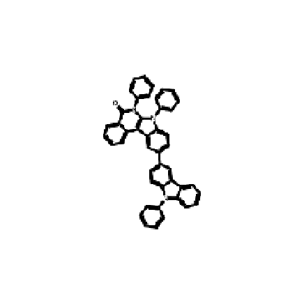 O=c1c2ccccc2c2c3cc(-c4ccc5c(c4)c4ccccc4n5-c4ccccc4)ccc3n(-c3ccccc3)c2n1-c1ccccc1